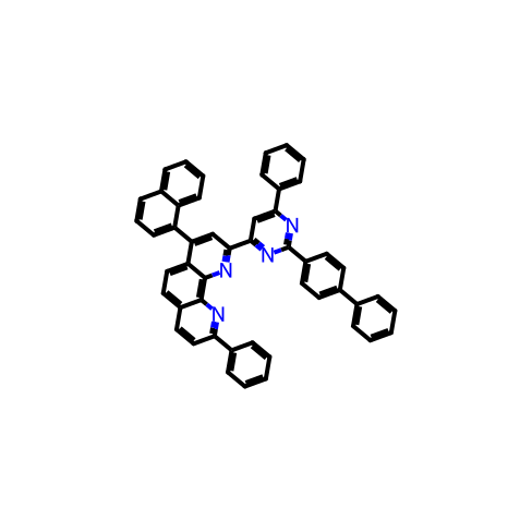 c1ccc(-c2ccc(-c3nc(-c4ccccc4)cc(-c4cc(-c5cccc6ccccc56)c5ccc6ccc(-c7ccccc7)nc6c5n4)n3)cc2)cc1